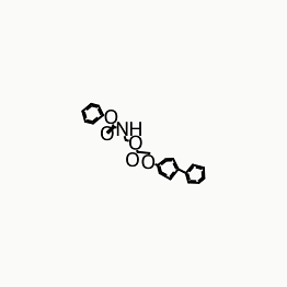 O=C(COc1ccc(-c2ccccc2)cc1)OCNC(=O)Oc1ccccc1